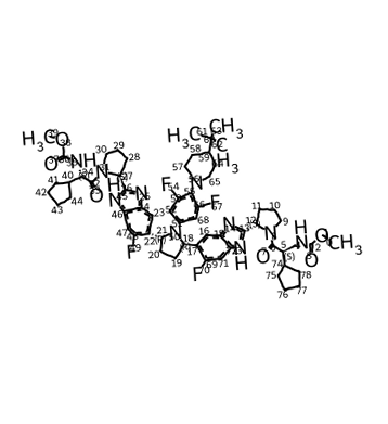 COC(=O)N[C@H](C(=O)N1CCC[C@H]1c1nc2cc([C@H]3CC[C@H](c4cc5nc([C@@H]6CCCN6C(=O)[C@@H](NC(=O)OC)C6CCCC6)[nH]c5cc4F)N3c3cc(F)c(N4CCC(C(C)(C)C)CC4)c(F)c3)c(F)cc2[nH]1)C1CCCC1